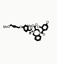 COCC#CCOc1ccc(S(=O)(=O)N2Cc3ccccc3N(C(=O)c3ccc(Cl)cc3Cl)CC2C(=O)OC)cc1